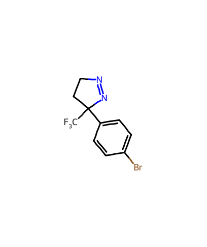 FC(F)(F)C1(c2ccc(Br)cc2)CCN=N1